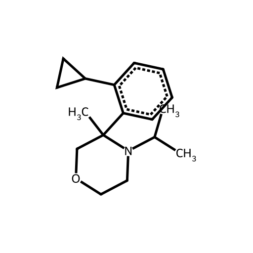 CC(C)N1CCOCC1(C)c1ccccc1C1CC1